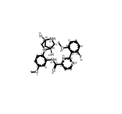 COc1ccc(N2C[C@H]3C[C@@H]2CN3)c(NC(=O)c2ccnc(-c3c(F)cccc3OC)n2)c1